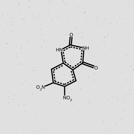 O=c1[nH]c(=O)c2cc([N+](=O)[O-])c([N+](=O)[O-])cc2[nH]1